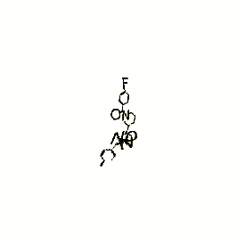 C=C/C=C\C(=CC)c1noc(C2CCCN(C(=O)c3ccc(F)cc3)C2)n1